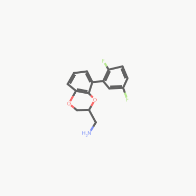 NCC1COc2cccc(-c3cc(F)ccc3F)c2O1